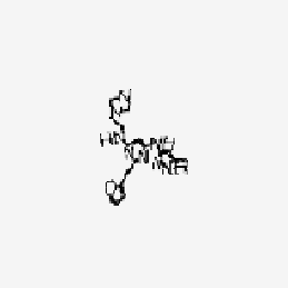 Cc1cc(Nc2cc(NCCN3CCN(C)CC3)nc(/C=C/c3ccco3)n2)n[nH]1